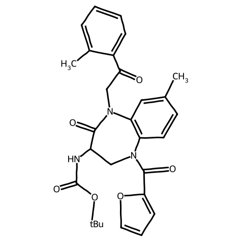 Cc1ccc2c(c1)N(CC(=O)c1ccccc1C)C(=O)C(NC(=O)OC(C)(C)C)CN2C(=O)c1ccco1